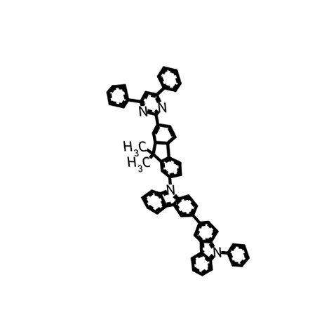 CC1(C)c2cc(-n3c4ccccc4c4cc(-c5ccc6c(c5)c5ccccc5n6-c5ccccc5)ccc43)ccc2C2C=CC(c3nc(-c4ccccc4)cc(-c4ccccc4)n3)=CC21